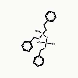 CCC[CH2][Sn]([CH2]CCC)([O]Cc1ccccc1)[O][Sn]([CH2]CCC)([O]Cc1ccccc1)[O]Cc1ccccc1